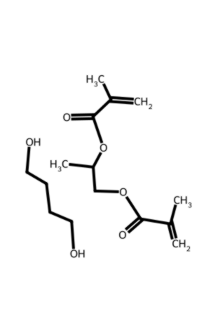 C=C(C)C(=O)OCC(C)OC(=O)C(=C)C.OCCCCO